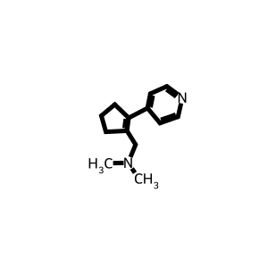 CN(C)CC1=C(c2ccncc2)CCC1